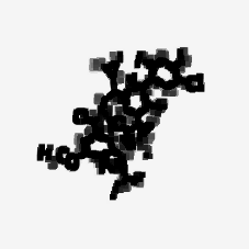 COc1cc(C(=O)NCC(c2cc(C3(C(N)=O)CC3)c(F)c(-c3cc(Cl)c(F)cc3F)n2)C2CC2)cc2cn(C(F)F)nc12